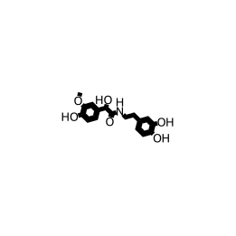 COc1cc(C(O)C(=O)NCCc2ccc(O)c(O)c2)ccc1O